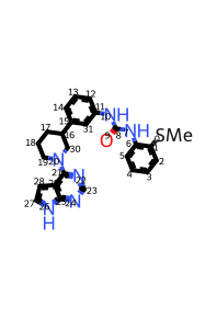 CSc1ccccc1NC(=O)Nc1cccc(C2CCCN(c3ncnc4[nH]ccc34)C2)c1